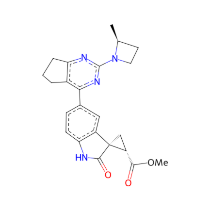 COC(=O)[C@H]1C[C@@]12C(=O)Nc1ccc(-c3nc(N4CC[C@@H]4C)nc4c3CCC4)cc12